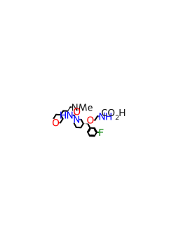 CNC[C@H](CC1CCOCC1)NC(=O)N1CCC[C@@H](C(OCCNC(=O)O)c2cccc(F)c2)C1